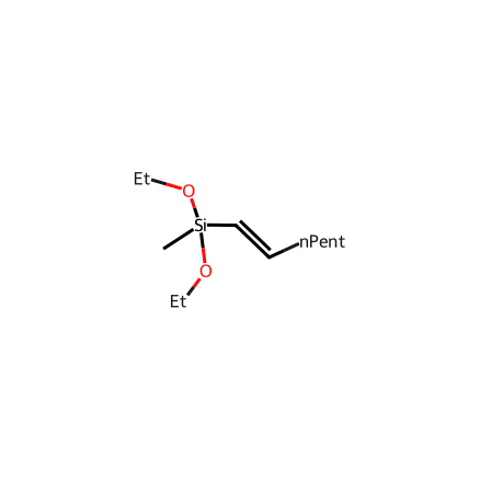 CCCCCC=C[Si](C)(OCC)OCC